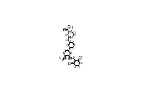 Nc1ncc(-c2cccc(CN3CCN[C@H](C(=O)O)C3)c2)nc1NCc1c(Cl)cccc1Cl